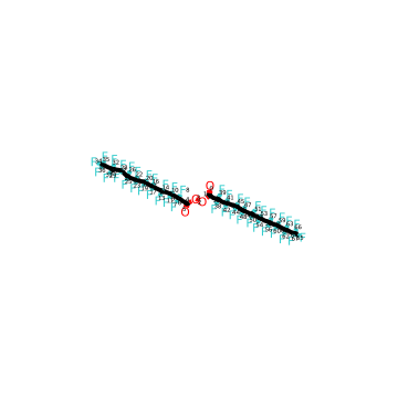 O=C(OOC(=O)C(F)(F)C(F)(F)C(F)(F)C(F)(F)C(F)(F)C(F)(F)C(F)(F)C(F)(F)C(F)(F)C(F)(F)F)C(F)(F)C(F)(F)C(F)(F)C(F)(F)C(F)(F)C(F)(F)C(F)(F)C(F)(F)C(F)(F)C(F)(F)F